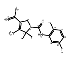 CCC(=N)C1=C(N)C(C)(C)N(C(=O)Nc2cc(F)ccc2C)C1